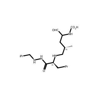 CC(C)CNNC(=O)[C@H](CC(C)C)NC[C@@H](C)CC(C=O)NC(=O)O